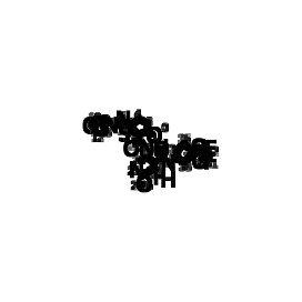 COc1ccc2nc(N3C4COCC3C4)sc2c1C(=O)Nc1cnc(OC)c(F)c1C(=O)Nc1ccc2c(c1)OC(F)(F)O2